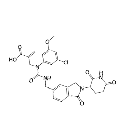 C=C(CN(C(=O)NCc1ccc2c(c1)CN(C1CCC(=O)NC1=O)C2=O)c1cc(Cl)cc(OC)c1)C(=O)O